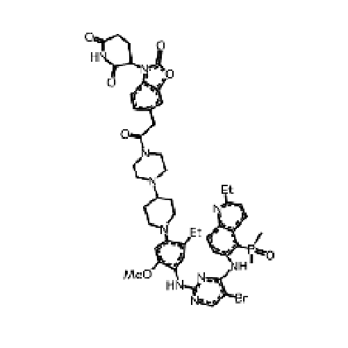 CCc1ccc2c(P(C)(C)=O)c(Nc3nc(Nc4cc(CC)c(N5CCC(N6CCN(C(=O)Cc7ccc8c(c7)oc(=O)n8C7CCC(=O)NC7=O)CC6)CC5)cc4OC)ncc3Br)ccc2n1